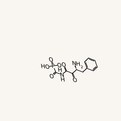 N[C@@H](Cc1ccccc1)C(=O)C(=O)NC(=O)P(=O)(O)O